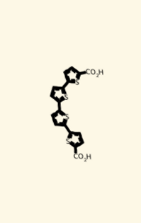 O=C(O)c1ccc(-c2ccc(-c3ccc(-c4ccc(C(=O)O)s4)s3)s2)s1